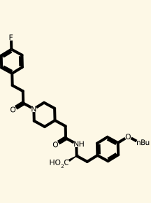 CCCCOc1ccc(C[C@H](NC(=O)CC2CCN(C(=O)CCc3ccc(F)cc3)CC2)C(=O)O)cc1